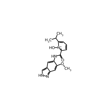 COc1cc2n[nH]cc2cc1NC(=O)c1cccc(C(C)C)[n+]1O